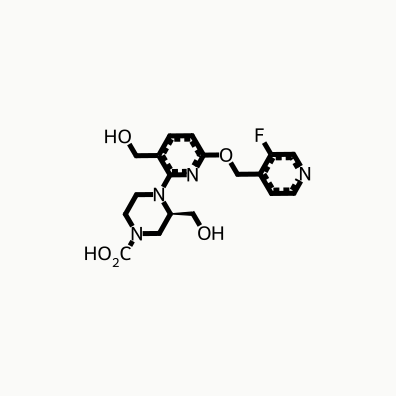 O=C(O)N1CCN(c2nc(OCc3ccncc3F)ccc2CO)[C@@H](CO)C1